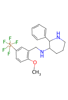 COc1ccc(S(F)(F)(F)(F)F)cc1CNC1CCCNC1c1ccccc1